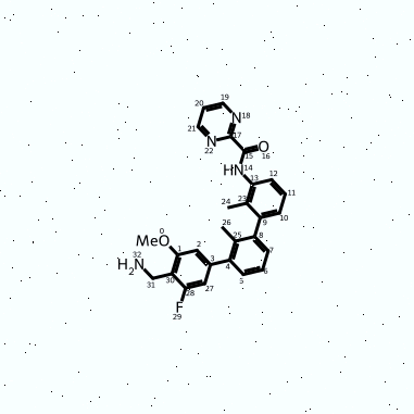 COc1cc(-c2cccc(-c3cccc(NC(=O)c4ncccn4)c3C)c2C)cc(F)c1CN